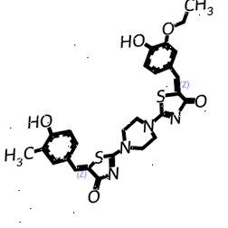 CCOc1cc(/C=C2\SC(N3CCN(C4=NC(=O)/C(=C/c5ccc(O)c(C)c5)S4)CC3)=NC2=O)ccc1O